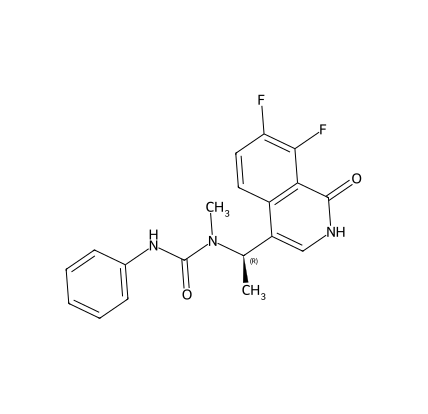 C[C@H](c1c[nH]c(=O)c2c(F)c(F)ccc12)N(C)C(=O)Nc1ccccc1